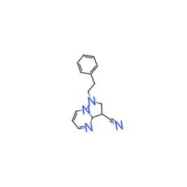 N#CC1CN(CCc2ccccc2)N2C=CC=NC12